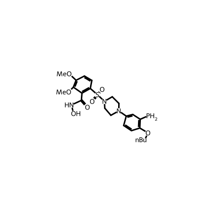 CCCCOc1ccc(N2CCN(S(=O)(=O)c3ccc(OC)c(OC)c3C(=O)NO)CC2)cc1P